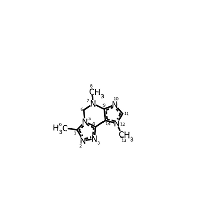 Cc1nnc2n1CN(C)c1ncn(C)c1-2